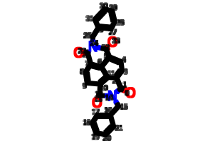 O=C1c2ccc3c4c(ccc(c24)C(=O)N1Cc1ccccc1)C(=O)N(Cc1ccccc1)C3=O